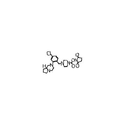 O=C(ON1C(=O)CCC1=O)N1CCN(Cc2ccc(Cl)cc2N2CCN3CCC[C@@H]3C2)CC1